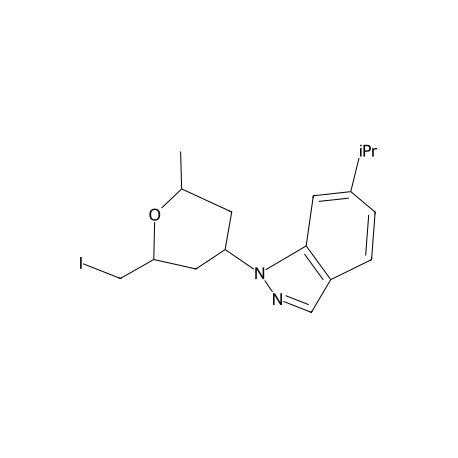 CC1CC(n2ncc3ccc(C(C)C)cc32)CC(CI)O1